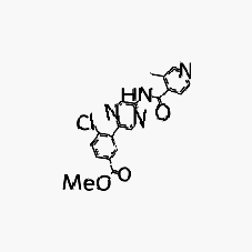 COC(=O)c1ccc(Cl)c(-c2cnc(NC(=O)c3ccncc3C)cn2)c1